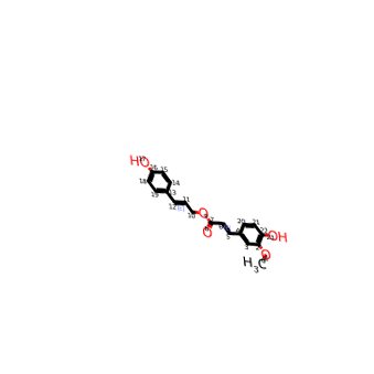 COc1cc(/C=C/C(=O)OC/C=C/c2ccc(O)cc2)ccc1O